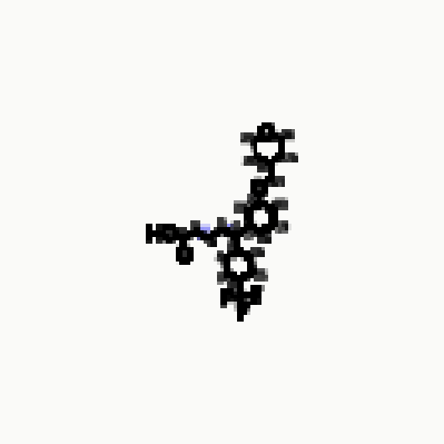 O=C(O)/C=C/C=C(\c1ccc(C(F)(F)F)cc1)c1cccc(OCC2CCOCC2)c1